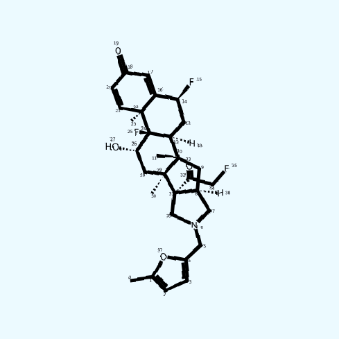 Cc1ccc(CN2C[C@@H]3C[C@@]4(C)[C@@H]5C[C@H](F)C6=CC(=O)C=C[C@]6(C)[C@@]5(F)[C@@H](O)C[C@]4(C)[C@]3(C(=O)CF)C2)o1